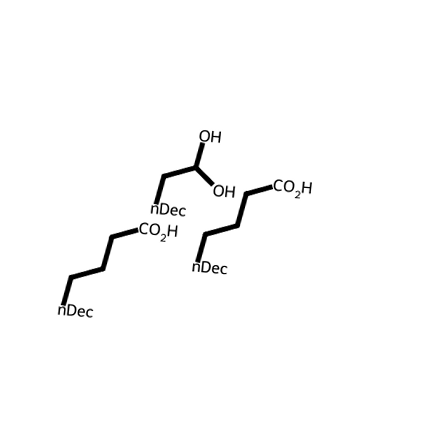 CCCCCCCCCCCC(O)O.CCCCCCCCCCCCCC(=O)O.CCCCCCCCCCCCCC(=O)O